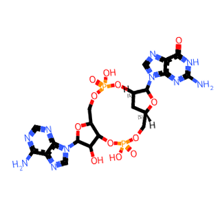 Nc1nc2c(ncn2C2O[C@@H]3COP(=O)(O)OC4C(COP(=O)(O)O[C@H]2C3)OC(n2cnc3c(N)ncnc32)C4O)c(=O)[nH]1